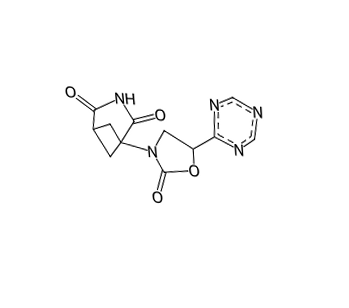 O=C1NC(=O)C2(N3CC(c4ncncn4)OC3=O)CC1C2